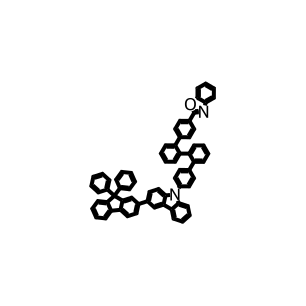 c1ccc(C2(c3ccccc3)c3ccccc3-c3ccc(-c4ccc5c(c4)c4ccccc4n5-c4ccc(-c5ccccc5-c5ccccc5-c5ccc(-c6nc7ccccc7o6)cc5)cc4)cc32)cc1